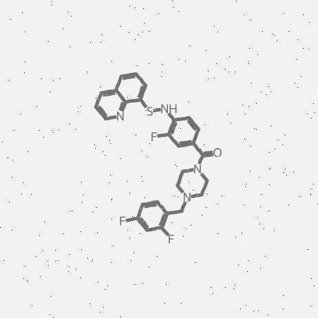 O=C(c1ccc(NSc2cccc3cccnc23)c(F)c1)N1CCN(Cc2ccc(F)cc2F)CC1